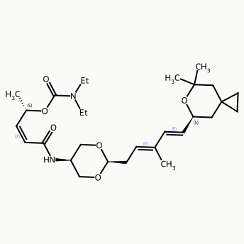 CCN(CC)C(=O)O[C@@H](C)/C=C\C(=O)N[C@H]1CO[C@@H](C/C=C(C)/C=C/[C@@H]2CC3(CC3)CC(C)(C)O2)OC1